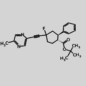 Cc1cnc(C#CC2(F)CC[C@@H](C(=O)OC(C)(C)C)[C@H](c3ccccc3)C2)cn1